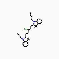 CCCCN1/C(=C/C=C(Cl)/C=C/C2=[N+](CCCC)c3ccccc3C2(C)C)C(C)(C)c2ccccc21